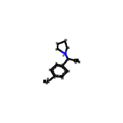 Cc1ccc(C(C)N2CCCC2)cc1